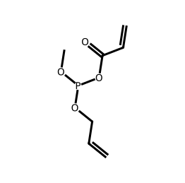 C=CCOP(OC)OC(=O)C=C